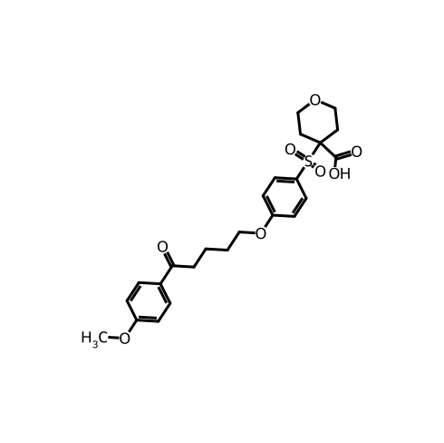 COc1ccc(C(=O)CCCCOc2ccc(S(=O)(=O)C3(C(=O)O)CCOCC3)cc2)cc1